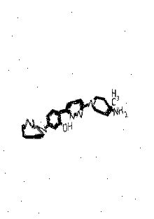 CC1(N)CCN(c2ccc(-c3ccc(-n4cccn4)cc3O)nn2)CC1